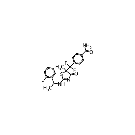 C[C@H](NC1=NC(=O)C(C)(C(F)(F)c2ccc(C(N)=O)cc2)S1)c1ccccc1F